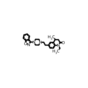 CCN1C(=O)CC(C)c2cc(CCN3CCN(c4noc5ccccc45)CC3)ccc21